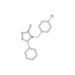 S=c1scc(-c2ccccc2)n1Cc1ccc(Cl)cc1